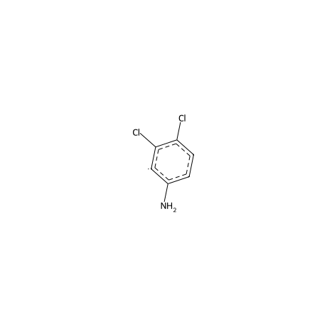 Nc1[c]c(Cl)c(Cl)cc1